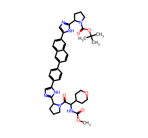 COC(=O)NC(C(=O)N1CCCC1c1ncc(-c2ccc(-c3ccc4cc(-c5cnc(C6CCCN6C(=O)OC(C)(C)C)[nH]5)ccc4c3)cc2)[nH]1)C1CCOCC1